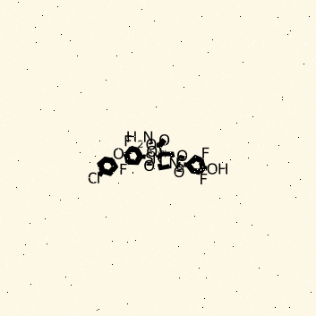 NOC(=O)[C@H]1CN(S(=O)(=O)c2cc(F)c(O)c(F)c2)CCN1S(=O)(=O)c1cc(F)c(Oc2ccc(Cl)cc2)c(F)c1